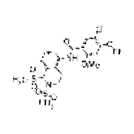 CCOc1cc(OC)c(C(=O)Nc2cccc3c2CCN(S(C)(=O)=O)C3S(C)(=O)=O)cc1Cl